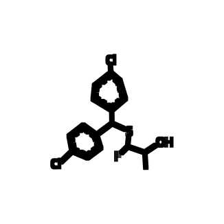 CC(O)C(F)SC(c1ccc(Cl)cc1)c1ccc(Cl)cc1